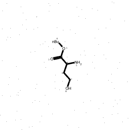 CCCCOC(=O)C(N)CCO